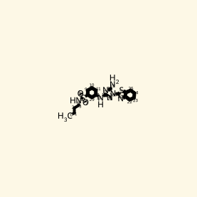 CCCCNS(=O)(=O)c1cccc(Nc2nc(N)n(-c3nc4ccccc4s3)n2)c1